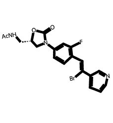 CC(=O)NC[C@H]1CN(c2ccc(/C=C(\Br)c3cccnc3)c(F)c2)C(=O)O1